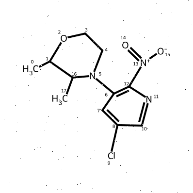 CC1OCCN(c2cc(Cl)cnc2[N+](=O)[O-])C1C